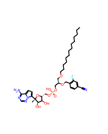 CCCCCCCCCCCCCCOC[C@H](COP(=O)(O)OC[C@H]1O[C@@](C)(c2ccc3c(N)ncnn23)[C@H](O)[C@@H]1O)OCc1ccc(C#N)cc1F